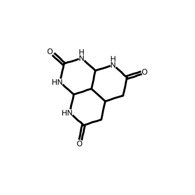 O=C1CC2CC(=O)NC3NC(=O)NC(N1)C23